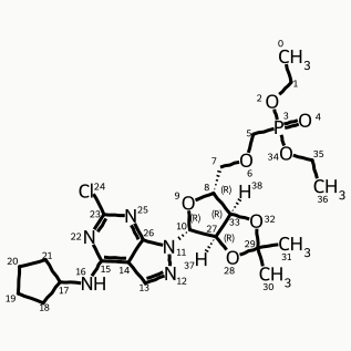 CCOP(=O)(COC[C@H]1O[C@@H](n2ncc3c(NC4CCCC4)nc(Cl)nc32)[C@@H]2OC(C)(C)O[C@@H]21)OCC